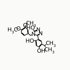 COc1ccc(Cn2c(O)nnc2-c2cc(C(C)C)c(O)cc2O)cc1OC